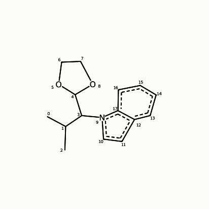 CC(C)C(C1OCCO1)n1ccc2ccccc21